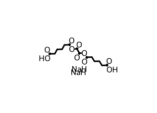 O=C(O)CCCCC(=O)OC(=O)C(=O)OC(=O)CCCCC(=O)O.[NaH].[NaH]